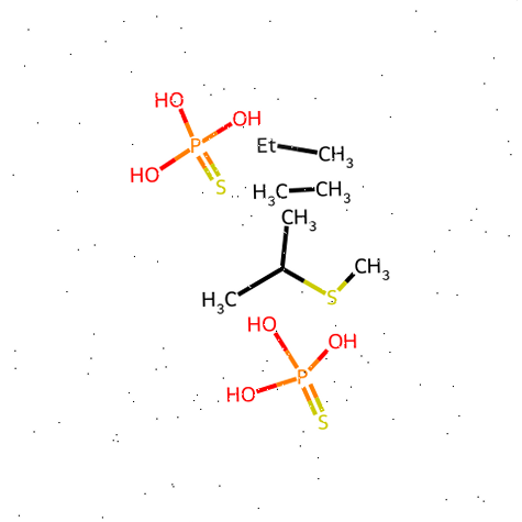 CC.CCC.CSC(C)C.OP(O)(O)=S.OP(O)(O)=S